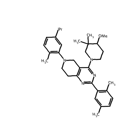 COC1CCN(c2nc(-c3cc(C)ccc3C)nc3c2CN(c2cc(C(C)C)ccc2C)CC3)CC1(C)C